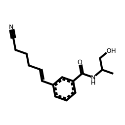 CC(CO)NC(=O)c1cccc(/C=C/CCCC#N)c1